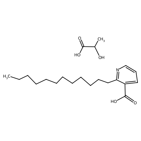 CC(O)C(=O)O.CCCCCCCCCCCCc1ncccc1C(=O)O